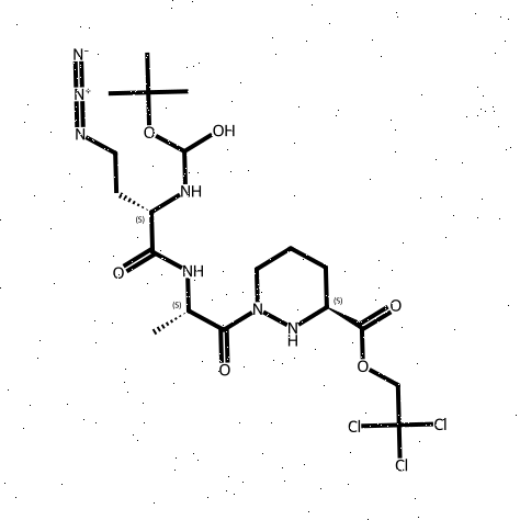 C[C@H](NC(=O)[C@H](CCN=[N+]=[N-])NC(O)OC(C)(C)C)C(=O)N1CCC[C@@H](C(=O)OCC(Cl)(Cl)Cl)N1